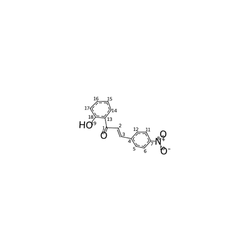 O=C(C=Cc1ccc([N+](=O)[O-])cc1)c1ccccc1O